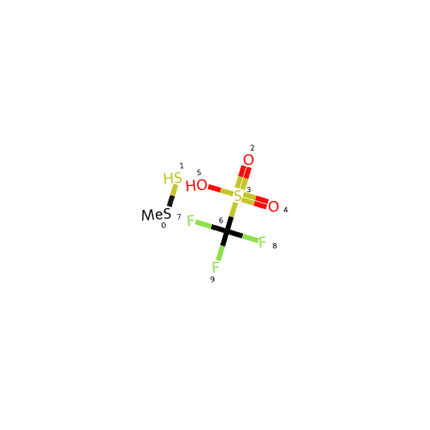 CSS.O=S(=O)(O)C(F)(F)F